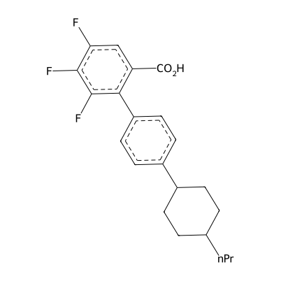 CCCC1CCC(c2ccc(-c3c(C(=O)O)cc(F)c(F)c3F)cc2)CC1